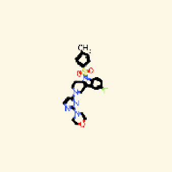 Cc1ccc(S(=O)(=O)n2c3c(c4cc(F)ccc42)CN(c2ccnc(N4CCOCC4)n2)CC3)cc1